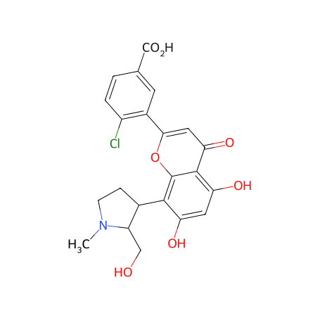 CN1CCC(c2c(O)cc(O)c3c(=O)cc(-c4cc(C(=O)O)ccc4Cl)oc23)C1CO